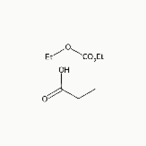 CCC(=O)O.CCOC(=O)OCC